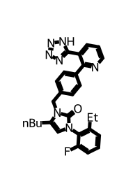 CCCCc1cn(-c2c(F)cccc2CC)c(=O)n1Cc1ccc(-c2ncccc2-c2nnn[nH]2)cc1